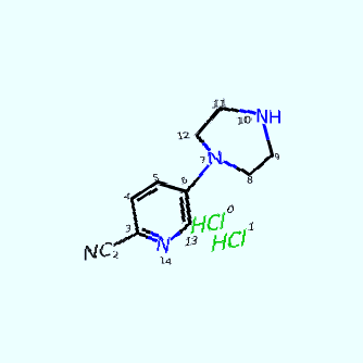 Cl.Cl.N#Cc1ccc(N2CCNCC2)cn1